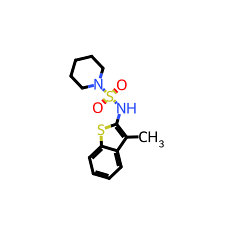 Cc1c(NS(=O)(=O)N2CCCCC2)sc2ccccc12